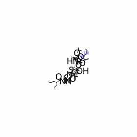 C=C/C(=C\C=C/C)O[P@](=O)(N[C@@H](C)C(=O)OC(C)C)OC[C@H]1S[C@@H](n2ccc(NC(=O)C(CCC)CCC)nc2=O)[C@@H](F)[C@@H]1O